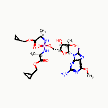 COc1nc(N)nc2c1nc(I)n2[C@@H]1O[C@H](COP(=O)(N[C@@H](C)C(=O)OCC2CC2)N[C@@H](C)C(=O)OCC2CC2)[C@@H](O)[C@@]1(C)O